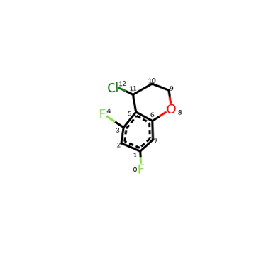 Fc1cc(F)c2c(c1)OCCC2Cl